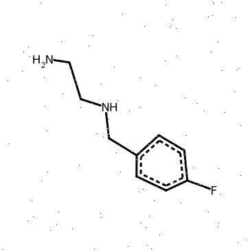 NCCNCc1ccc(F)cc1